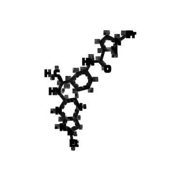 CCn1cc2ncc(N[C@@H](C)c3cccc(NC(=O)c4ccn(C(C)C)n4)c3)nc2n1